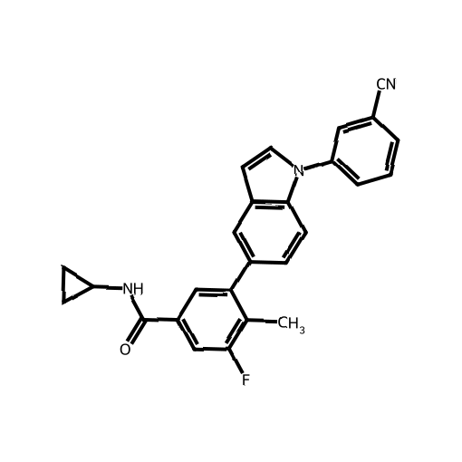 Cc1c(F)cc(C(=O)NC2CC2)cc1-c1ccc2c(ccn2-c2cccc(C#N)c2)c1